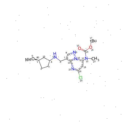 CO[C@@H]1CCC(NCc2cnn3c(N(C)C(=O)OC(C)(C)C)cc(Cl)nc23)C1